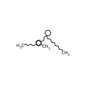 CCCCCCCCCC1(CCc2ccc(CCCCC)cc2C)CCCCC1